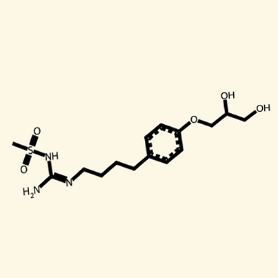 CS(=O)(=O)NC(N)=NCCCCc1ccc(OCC(O)CO)cc1